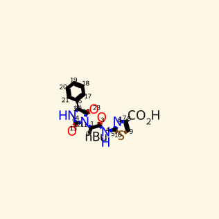 CCCCC(C(=O)Nc1nc(C(=O)O)cs1)N1C(=O)N[C@@H](c2ccccc2)C1=O